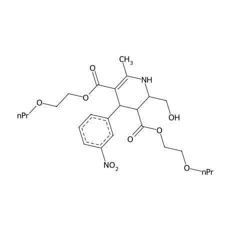 CCCOCCOC(=O)C1=C(C)NC(CO)C(C(=O)OCCOCCC)C1c1cccc([N+](=O)[O-])c1